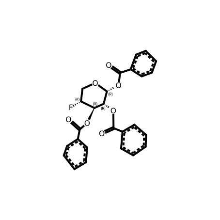 O=C(O[C@H]1OC[C@@H](F)[C@H](OC(=O)c2ccccc2)[C@H]1OC(=O)c1ccccc1)c1ccccc1